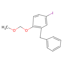 COCOc1ccc(I)cc1Cc1ccccc1